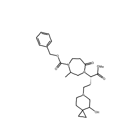 COC(=O)[C@H](CCN1CCC2(CC2)C(O)C1)N1CC(C)N(C(=O)OCc2ccccc2)CCC1=O